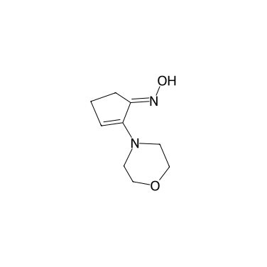 O/N=C1\CCC=C1N1CCOCC1